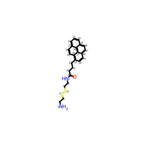 NCCSSCCNC(=O)CCCc1ccc2ccc3cccc4ccc1c2c34